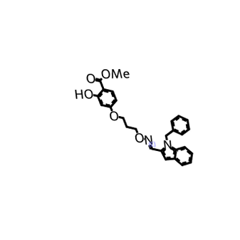 COC(=O)c1ccc(OCCCO/N=C/c2cc3ccccc3n2Cc2ccccc2)cc1O